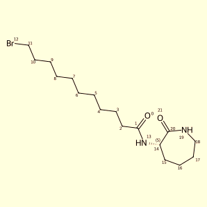 O=C(CCCCCCCCCCBr)N[C@H]1CCCCNC1=O